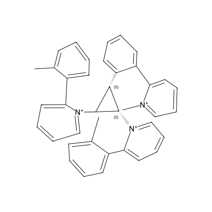 Cc1ccccc1-c1cccc[n+]1C1[C@@H]([n+]2ccccc2-c2ccccc2C)[C@H]1c1ccccc1-c1cccc[n+]1C